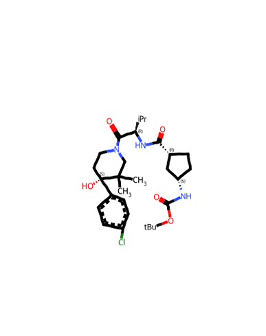 CC(C)[C@@H](NC(=O)[C@@H]1CC[C@H](NC(=O)OC(C)(C)C)C1)C(=O)N1CC[C@](O)(c2ccc(Cl)cc2)C(C)(C)C1